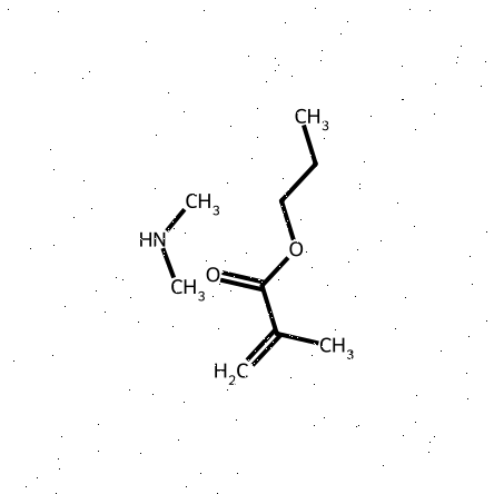 C=C(C)C(=O)OCCC.CNC